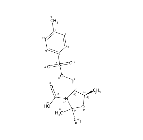 Cc1ccc(S(=O)(=O)OC[C@@H]2[C@@H](C)OC(C)(C)N2C(=O)O)cc1